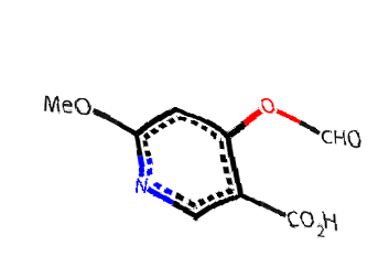 COc1cc(OC=O)c(C(=O)O)cn1